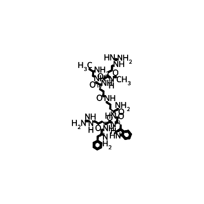 CCC(N)CNC(=O)[C@H](CCC(=O)NCCC[C@H](NC(=O)[C@H](Cc1c[nH]c2ccccc12)NC(=O)[C@H](CCCNC(=N)N)NC(=O)[C@H](N)Cc1ccccc1)C(N)=O)NC(=O)[C@H](CCCNC(=N)N)NC(C)=O